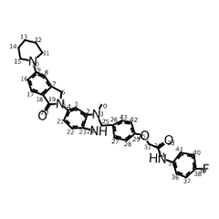 CN1c2cc(N3Cc4cc(N5CCCCC5)ccc4C3=O)ccc2NC1c1ccc(OCC(=O)Nc2ccc(F)cc2)cc1